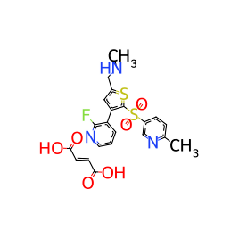 CNCc1cc(-c2cccnc2F)c(S(=O)(=O)c2ccc(C)nc2)s1.O=C(O)C=CC(=O)O